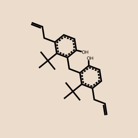 C=CCc1ccc(O)c(Cc2c(O)ccc(CC=C)c2C(C)(C)C)c1C(C)(C)C